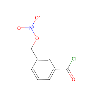 O=C(Cl)c1cccc(CO[N+](=O)[O-])c1